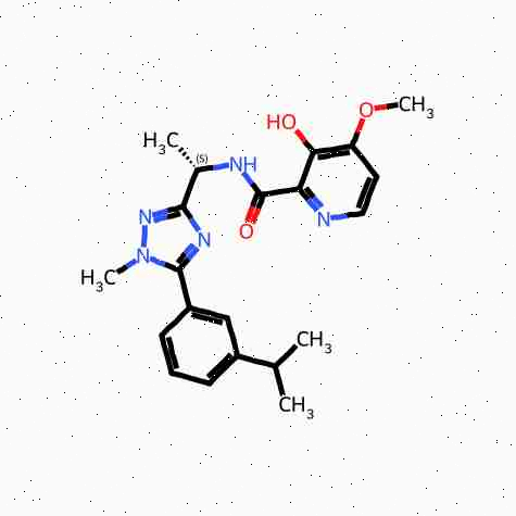 COc1ccnc(C(=O)N[C@@H](C)c2nc(-c3cccc(C(C)C)c3)n(C)n2)c1O